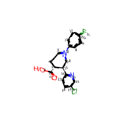 O=C(O)[C@@H]1CCN(c2ccc(F)cc2)C[C@H]1c1ccc(Cl)cn1